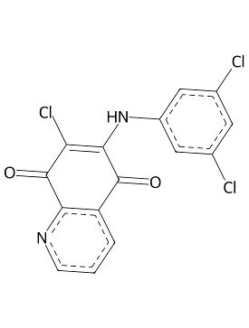 O=C1C(Nc2cc(Cl)cc(Cl)c2)=C(Cl)C(=O)c2ncccc21